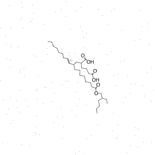 CCCCCCC/C=C/C(CCCCCCCC(=O)OCC(CC)CCCC)CC(CCCC(=O)O)C(=O)O